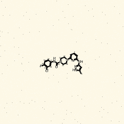 Cc1cc(Nc2cccc(N3CCN(C(=O)Nc4ccc(F)c(Cl)c4)CC3)n2)n[nH]1